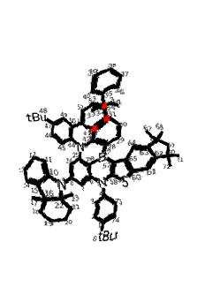 CC(C)(C)c1ccc(N2c3cc(N4c5ccccc5C5(C)CCCCC45C)cc4c3B(c3ccc(C(C)(C)c5ccccc5)cc3N4c3ccc(C(C)(C)C)cc3-c3ccccc3)c3c2sc2cc4c(cc32)C(C)(C)CC4(C)C)cc1